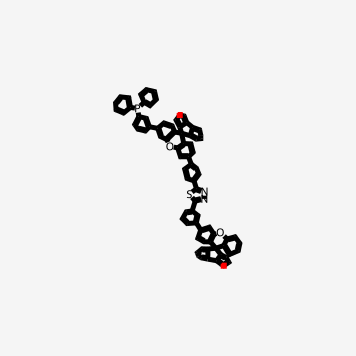 c1ccc(P(c2ccccc2)c2cccc(-c3ccc4c(c3)Oc3cc(-c5ccc(-c6nnc(-c7cccc(-c8ccc9c(c8)Oc8ccccc8C98c9ccccc9-c9ccccc98)c7)s6)cc5)ccc3C43c4ccccc4-c4ccccc43)c2)cc1